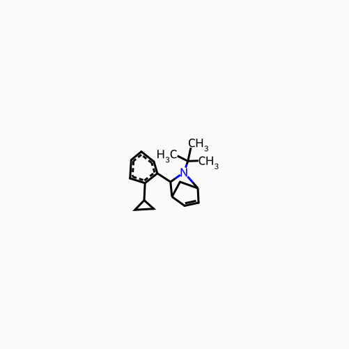 CC(C)(C)N1C2C=CC(C2)C1c1ccccc1C1CC1